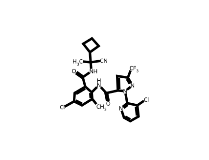 Cc1cc(Cl)cc(C(=O)NC(C)(C#N)C2CCC2)c1NC(=O)c1cc(C(F)(F)F)nn1-c1ncccc1Cl